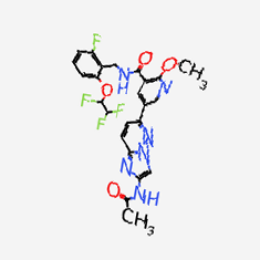 COc1ncc(-c2ccc3nc(NC(C)=O)cn3n2)cc1C(=O)NCc1c(F)cccc1OC(F)C(F)F